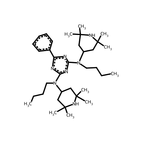 CCCCN(c1nc(-c2ccccc2)nc(N(CCCC)C2CC(C)(C)NC(C)(C)C2)n1)C1CC(C)(C)NC(C)(C)C1